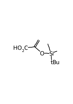 C=C(O[Si](C)(C)C(C)(C)C)C(=O)O